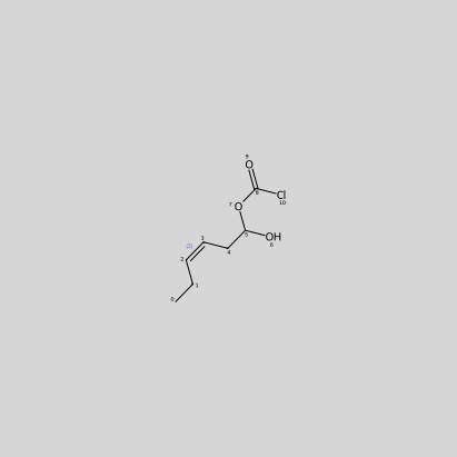 CC/C=C\CC(O)OC(=O)Cl